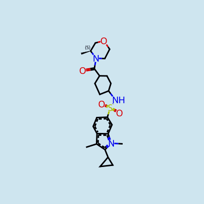 Cc1c(C2CC2)n(C)c2cc(S(=O)(=O)NC3CCC(C(=O)N4CCOC[C@@H]4C)CC3)ccc12